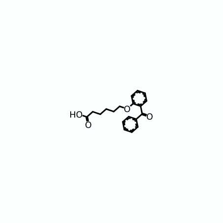 O=C(O)CCCCCOc1ccccc1C(=O)c1ccccc1